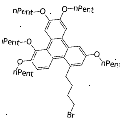 CCCCCOc1cc(CCCCBr)c2c(c1)c1cc(OCCCCC)c(OCCCCC)cc1c1c(OCCCCC)c(OCCCCC)ccc21